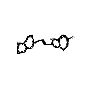 Brc1ccc2cc(C=Cc3ccc4ccccc4n3)[nH]c2c1